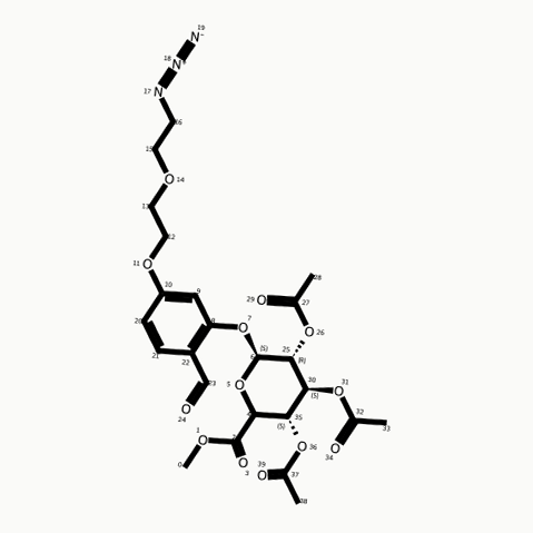 COC(=O)C1O[C@@H](Oc2cc(OCCOCCN=[N+]=[N-])ccc2C=O)[C@H](OC(C)=O)[C@@H](OC(C)=O)[C@@H]1OC(C)=O